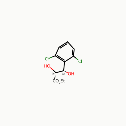 CCOC(=O)[C@H](O)[C@@H](O)c1c(Cl)cccc1Cl